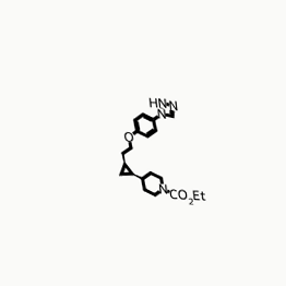 CCOC(=O)N1CCC([C@H]2C[C@H]2CCOc2ccc(-n3cn[nH]3)cc2)CC1